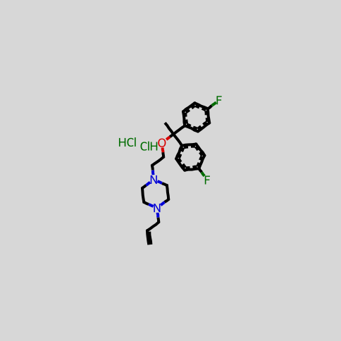 C=CCN1CCN(CCOC(C)(c2ccc(F)cc2)c2ccc(F)cc2)CC1.Cl.Cl